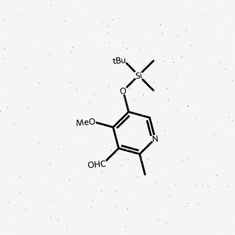 COc1c(O[Si](C)(C)C(C)(C)C)cnc(C)c1C=O